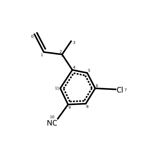 C=C[C](C)c1cc(Cl)cc(C#N)c1